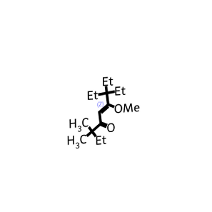 CCC(C)(C)C(=O)/C=C(\OC)C(CC)(CC)CC